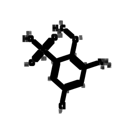 COc1c(N)cc(Cl)cc1S(=O)(=O)O